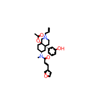 C=CCN1CC[C@@]2(c3cccc(O)c3)C[C@H](N(C)C(=O)/C=C/c3ccoc3)CC[C@]2(OC(C)=O)C1